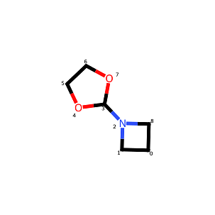 C1CN(C2OCCO2)C1